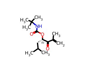 C=C(C)C(=O)[C@H](CC(C)C)OC(=O)NC(C)(C)C